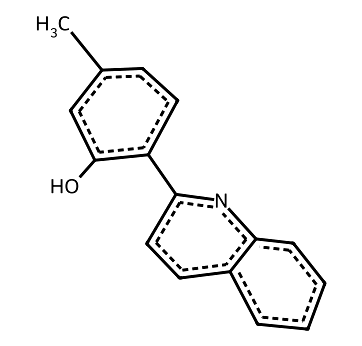 Cc1ccc(-c2ccc3ccccc3n2)c(O)c1